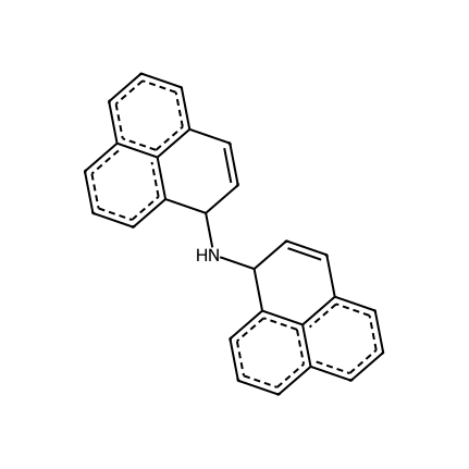 C1=CC(NC2C=Cc3cccc4cccc2c34)c2cccc3cccc1c23